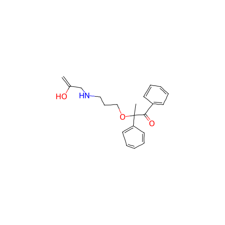 C=C(O)CNCCCOC(C)(C(=O)c1ccccc1)c1ccccc1